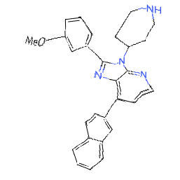 COc1cccc(-c2nc3c(-c4ccc5ccccc5c4)ccnc3n2C2CCNCC2)c1